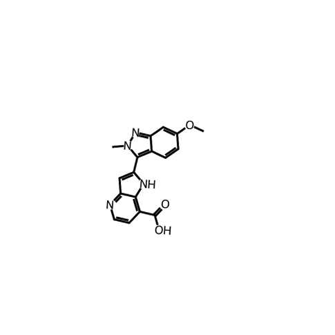 COc1ccc2c(-c3cc4nccc(C(=O)O)c4[nH]3)n(C)nc2c1